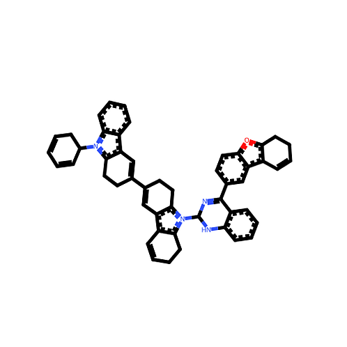 C1=CCC(n2c3c(c4ccccc42)C=C(C2=Cc4c5c(n(C6N=C(c7ccc8oc9c(c8c7)C=CCC9)c7ccccc7N6)c4CC2)CCC=C5)CC3)C=C1